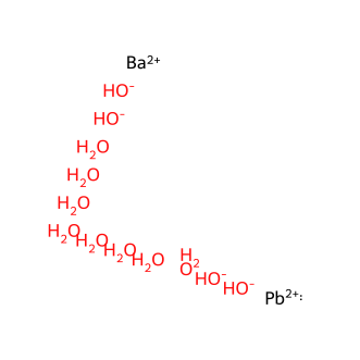 O.O.O.O.O.O.O.O.[Ba+2].[OH-].[OH-].[OH-].[OH-].[Pb+2]